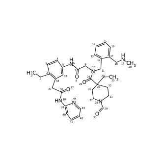 CCc1ccc(NC(=O)CN(Cc2ccccc2CNC)C(=O)C2(CC)CCN(C=O)CC2)cc1CC(=O)Nc1ccccn1